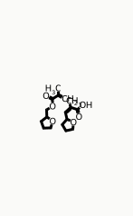 C=C(C)C(=O)OCC1CCCO1.CC(=CC1CCCO1)C(=O)O